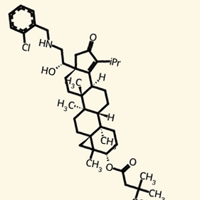 CC(C)C1=C2[C@H]3CC[C@@H]4[C@@]5(C)CC[C@H](OC(=O)CC(C)(C)C(=O)O)C6(C)C[C@]65CC[C@@]4(C)[C@]3(C)CC[C@@]2([C@H](O)CNCc2ccccc2Cl)CC1=O